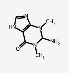 CN1C(=O)c2[nH]cnc2N(C)C1N